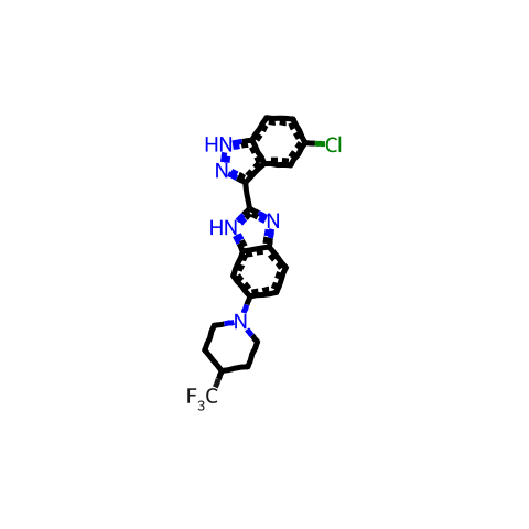 FC(F)(F)C1CCN(c2ccc3nc(-c4n[nH]c5ccc(Cl)cc45)[nH]c3c2)CC1